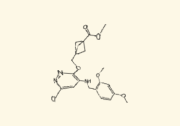 COC(=O)C12CC(COc3nnc(Cl)cc3NCc3ccc(OC)cc3OC)(C1)C2